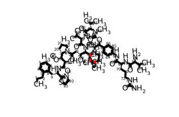 CCCc1ccccc1C[C@H](NC(=O)[C@H](C)[C@@H](OC)[C@@H]1CCCN1C(=O)C[C@@H](OC)[C@H]([C@@H](C)CC)N(C)C(=O)[C@@H](NC(=O)[C@H](C(C)C)N(C)C(=O)OC(C(=O)N1CCN(C)CC1)c1ccc(NC(=O)[C@H](CCCNC(N)=O)NC(=O)[C@@H](N)C(C)C)cc1)C(C)C)c1nccs1